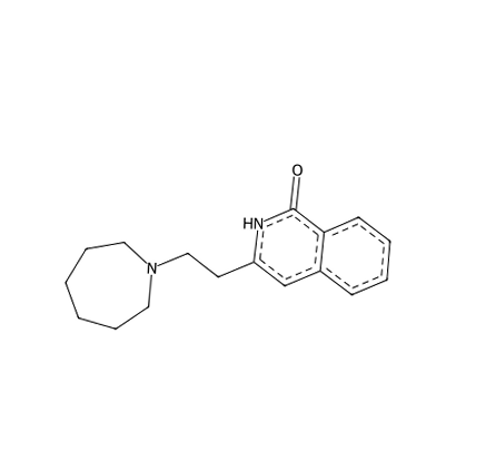 O=c1[nH]c(CCN2CCCCCC2)cc2ccccc12